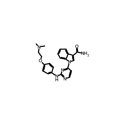 CN(C)CCOc1ccc(Nc2nccc(-n3cc(C(N)=O)c4ccccc43)n2)cc1